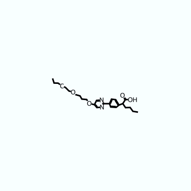 CCCCCCOCCCCOc1cnc(-c2ccc(C(CCCC)C(=O)O)cc2)nc1